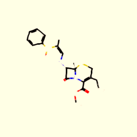 CC(=O)OCC1=C(C(=O)OC(C)(C)C)N2C(=O)[C@@H](NC=C(C)[S+]([O-])c3ccccc3)[C@@H]2SC1